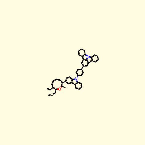 C=C=Cc1oc(C)c(-c2ccc3c(c2)c2ccccc2n3-c2ccc(-c3cc4c5c(n6c7ccccc7c(c3)c46)CCC=C5)cc2)ccccc1C=C